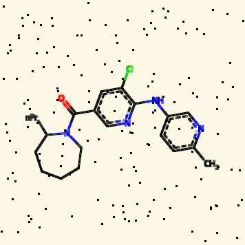 CCCC1CCCCCN1C(=O)c1cnc(Nc2ccc(C)nc2)c(Cl)c1